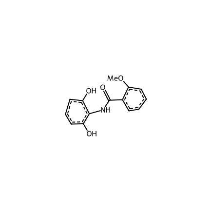 COc1ccccc1C(=O)Nc1c(O)cccc1O